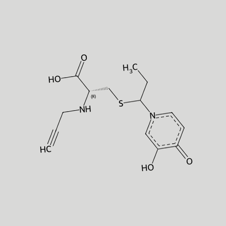 C#CCN[C@@H](CSC(CC)n1ccc(=O)c(O)c1)C(=O)O